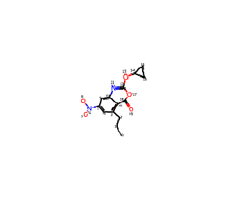 CCCc1cc([N+](=O)[O-])cc2nc(OC3CC3)oc(=O)c12